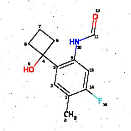 Cc1cc(C2(O)CCC2)c(NC=O)cc1F